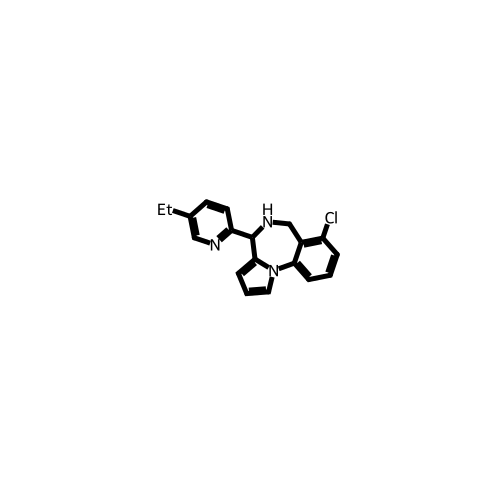 CCc1ccc(C2NCc3c(Cl)cccc3-n3cccc32)nc1